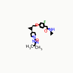 CC(C)c1noc(N2CCC([C@H]3C[C@H]3CCOc3ccc(CC(=O)NC4CC4)c(F)c3)CC2)n1